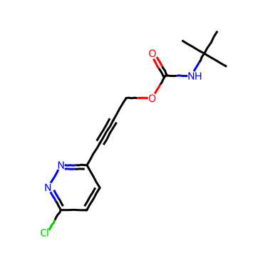 CC(C)(C)NC(=O)OCC#Cc1ccc(Cl)nn1